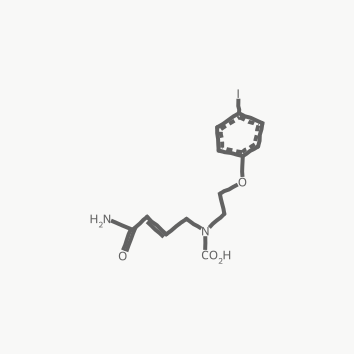 NC(=O)/C=C/CN(CCOc1ccc(I)cc1)C(=O)O